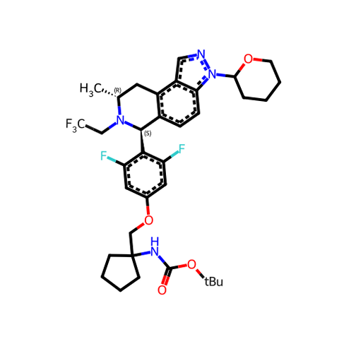 C[C@@H]1Cc2c(ccc3c2cnn3C2CCCCO2)[C@@H](c2c(F)cc(OCC3(NC(=O)OC(C)(C)C)CCCC3)cc2F)N1CC(F)(F)F